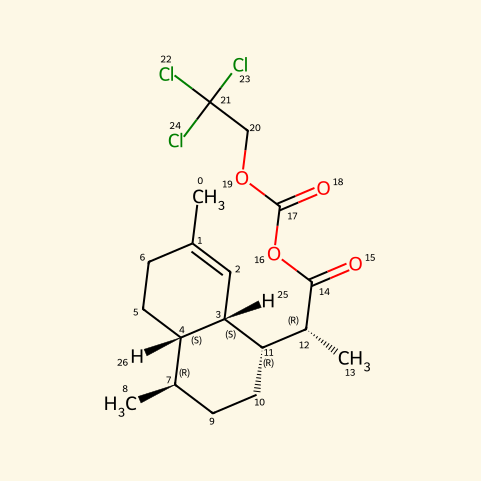 CC1=C[C@H]2[C@@H](CC1)[C@H](C)CC[C@H]2[C@@H](C)C(=O)OC(=O)OCC(Cl)(Cl)Cl